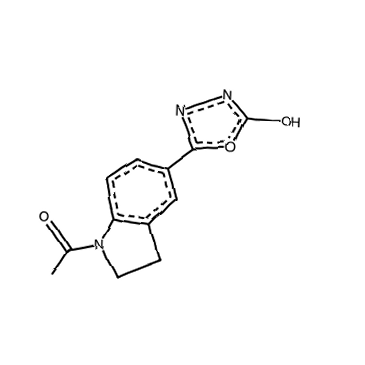 CC(=O)N1CCc2cc(-c3nnc(O)o3)ccc21